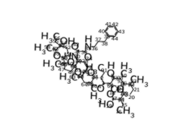 CCC(C(=O)[C@@H](C)[C@@H](O)[C@H](C)[C@@H]1O[C@@H]([C@@H](CC)C(=O)O)CC[C@@H]1C)[C@H]1O[C@]2(C=C[C@@H](NC(=O)C(=O)NCCCc3ccccc3)[C@]3(CC[C@@](C)([C@H]4CC[C@](O)(CC)[C@H](C)O4)O3)O2)[C@H](C)C[C@@H]1C